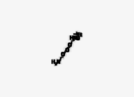 CCC(C)(C)C(=O)NCCCOCCOCCOCCCN